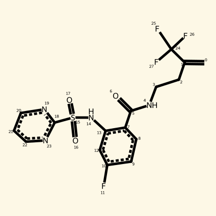 C=C(CCNC(=O)c1ccc(F)cc1NS(=O)(=O)c1ncccn1)C(F)(F)F